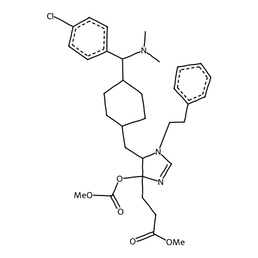 COC(=O)CCC1(OC(=O)OC)N=CN(CCc2ccccc2)C1CC1CCC(C(c2ccc(Cl)cc2)N(C)C)CC1